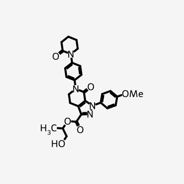 COc1ccc(-n2nc(C(=O)OC(C)CO)c3c2C(=O)N(c2ccc(N4CCCCC4=O)cc2)CC3)cc1